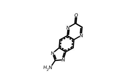 NC1=Nc2cc3c(cc2=N1)N=CC(=O)N=3